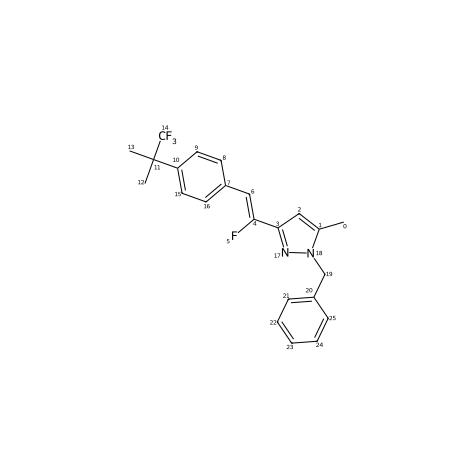 Cc1cc(C(F)=Cc2ccc(C(C)(C)C(F)(F)F)cc2)nn1Cc1ccccc1